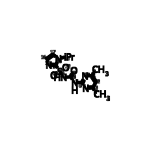 Cc1cc(C)nc(NC(=O)NS(=O)(=O)c2nccn2C(C)C)n1